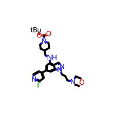 CC(C)(C)OC(=O)N1CCC(CNc2cc(-c3ccnc(F)c3)cc3c2cnn3CCCN2CCOCC2)CC1